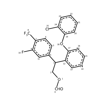 O=COCC(c1ccc(C(F)(F)F)c(F)c1)c1cncnc1Oc1ccccc1Cl